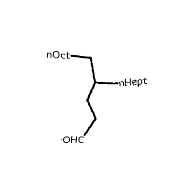 CCCCCCCCCC(CC[C]=O)CCCCCCC